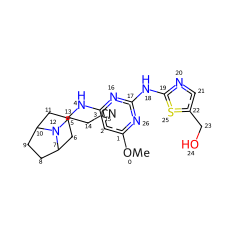 COc1cc(NC2CC3CCC(C2)N3CCC#N)nc(Nc2ncc(CO)s2)n1